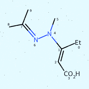 CC/C(=C\C(=O)O)N(C)N=C(C)C